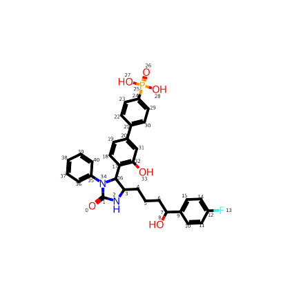 O=C1NC(CCCC(O)c2ccc(F)cc2)C(c2ccc(-c3ccc(P(=O)(O)O)cc3)cc2O)N1c1ccccc1